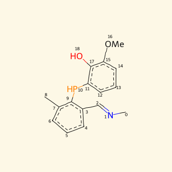 C/N=C/c1cccc(C)c1Pc1cccc(OC)c1O